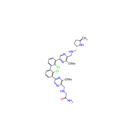 C=C1CC[C@@H](CNCc2ncc(-c3cccc(-c4cccc(-c5cnc(CNCC(N)=O)c(OC)n5)c4Cl)c3Cl)nc2OC)N1